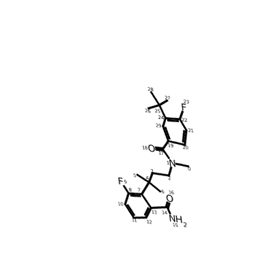 CN(CCC(C)(C)c1c(F)cccc1C(N)=O)C(=O)c1ccc(F)c(C(C)(C)C)c1